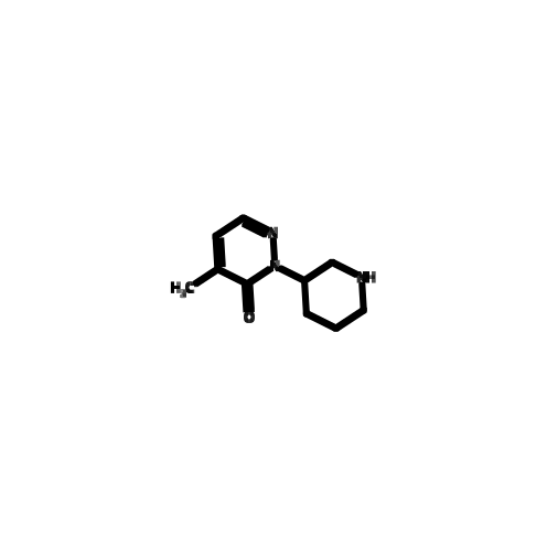 Cc1ccnn(C2CCCNC2)c1=O